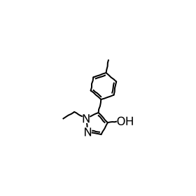 CCn1ncc(O)c1-c1ccc(C)cc1